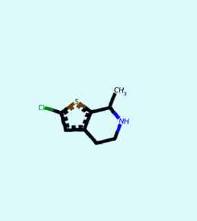 CC1NCCc2cc(Cl)sc21